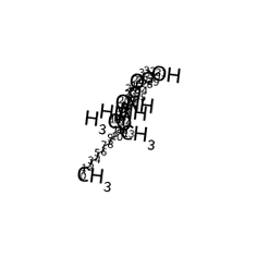 CCCCCCCCCCCCC(C)OC(C)NNC(=O)Nc1ccc(Oc2ccc(O)cc2)cc1